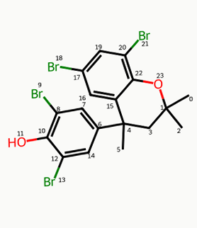 CC1(C)CC(C)(c2cc(Br)c(O)c(Br)c2)c2cc(Br)cc(Br)c2O1